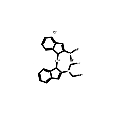 CCCP(CCC)C1=Cc2ccccc2[CH]1[Hf+2][CH]1C(P(CC(C)C)CC(C)C)=Cc2ccccc21.[Cl-].[Cl-]